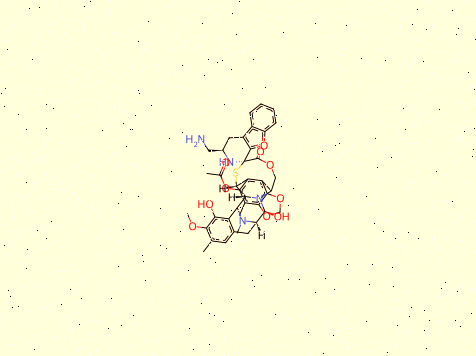 COc1c(C)cc2c(c1O)C1[C@@H]3[C@@H]4S[C@]5(N[C@@H](CN)Cc6c5oc5ccccc65)C(=O)OCC(c5c6c(c(C)c(OC(C)=O)c54)OCO6)N3[C@@H](O)[C@H](C2)N1C